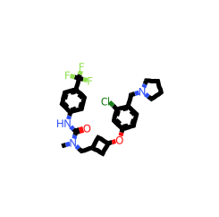 CN(CC1CC(Oc2ccc(CN3CCCC3)c(Cl)c2)C1)C(=O)Nc1ccc(C(F)(F)F)cc1